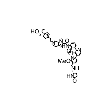 COc1nc(-c2ccnc(-c3cccc(NC(=O)c4nc5c(n4C)CN(CCC46CCC(C(=O)O)(CC4)C6)CC5)c3Cl)c2Cl)ccc1CNC[C@@H]1CCC(=O)N1